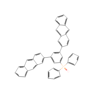 O=P(c1ccccc1)(c1ccccc1)c1cc(-c2ccc3cc4ccccc4cc3c2)cc(-c2ccc3cc4ccccc4cc3c2)c1